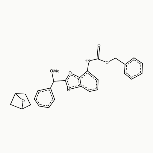 C1CC2CC1O2.COC(c1ccccc1)c1nc2cccc(NC(=O)OCc3ccccc3)c2o1